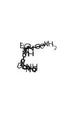 CCc1nc(N2CCC(C3CCN(C(=O)c4ccc5nc(-c6ccccc6)[nH]c5c4)CC3)CC2)sc1C(=O)NCCOCCOCCN